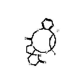 O=C1COCC2(CCN3C(=O)COc4ccccc4[C@H]4CC[C@H](CC4)OCC32)N1